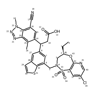 CC[C@@H]1CN(Cc2cc(C(CC(=O)O)c3cc(C#N)c4c(nnn4C)c3C)cc3ccsc23)S(=O)(=O)c2cc(Cl)cnc2O1